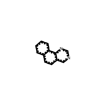 [c]1cccc2c1ccc1cncnc12